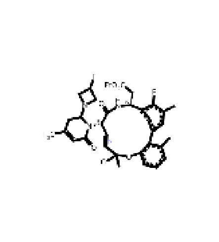 CCOC(=O)C[C@@H]1NC(=O)[C@@H](N2C(=O)C=C(C(F)(F)F)CC2N2CC(F)C2)/C=C/C(C)(Cl)Oc2cccc(C)c2-c2cc(C)c(F)c1c2